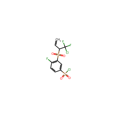 C=CC(C(F)(F)Cl)S(=O)(=O)c1cc(S(=O)(=O)Cl)ccc1F